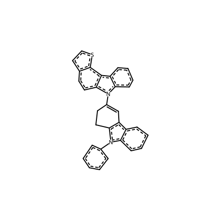 C1=C(n2c3ccccc3c3c4sccc4ccc32)CCc2c1c1ccccc1n2-c1ccccc1